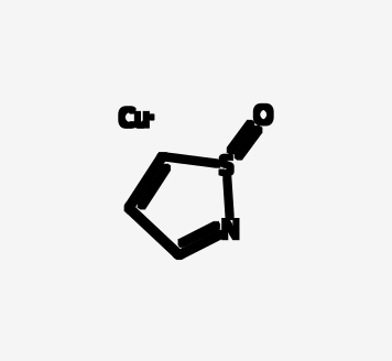 O=S1C=CC=N1.[Cu]